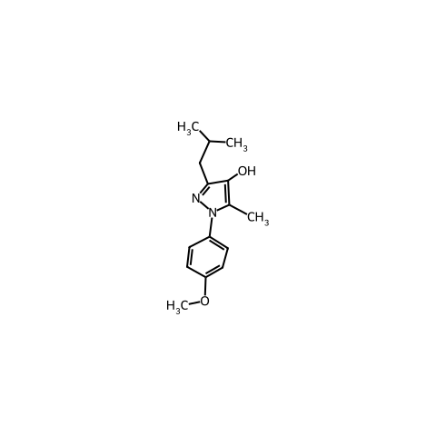 COc1ccc(-n2nc(CC(C)C)c(O)c2C)cc1